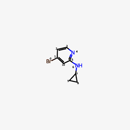 Brc1ccnc(NC2CC2)c1